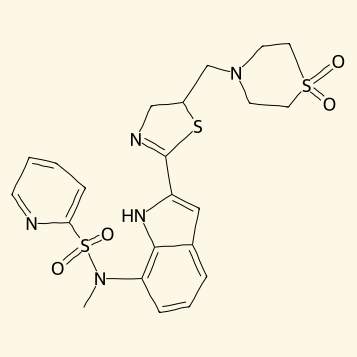 CN(c1cccc2cc(C3=NCC(CN4CCS(=O)(=O)CC4)S3)[nH]c12)S(=O)(=O)c1ccccn1